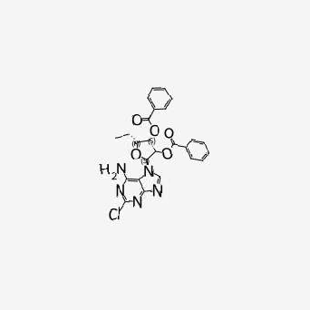 CC[C@H]1O[C@H](n2cnc3nc(Cl)nc(N)c32)C(OC(=O)c2ccccc2)[C@H]1OC(=O)c1ccccc1